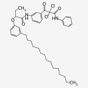 CCCCCCCCCCCCCCCc1cccc(OC(CC)C(=O)Nc2cccc(C(=O)C(Cl)(Cl)C(=O)Nc3ccccc3)c2)c1